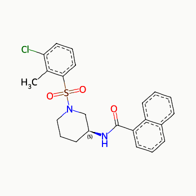 Cc1c(Cl)cccc1S(=O)(=O)N1CCC[C@H](NC(=O)c2cccc3ccccc23)C1